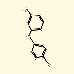 N#Cc1ccc(Oc2cccc(N)c2)cc1